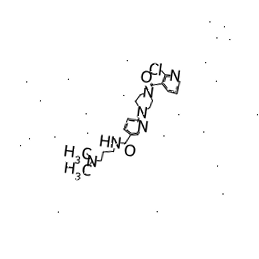 CN(C)CCCNC(=O)c1ccc(N2CCN(C(=O)c3cccnc3Cl)CC2)nc1